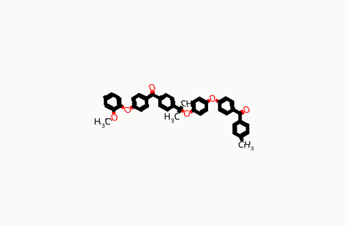 COc1ccccc1Oc1ccc(C(=O)c2ccc(C(C)(C)Oc3ccc(Oc4ccc(C(=O)c5ccc(C)cc5)cc4)cc3)cc2)cc1